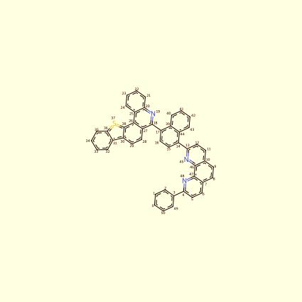 c1ccc(-c2ccc3ccc4ccc(-c5ccc(-c6nc7ccccc7c7c6ccc6c8ccccc8sc67)c6ccccc56)nc4c3n2)cc1